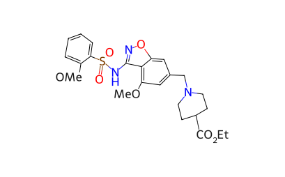 CCOC(=O)C1CCN(Cc2cc(OC)c3c(NS(=O)(=O)c4ccccc4OC)noc3c2)CC1